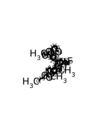 CCCCOC(=O)n1ccc2c(CN3CCN(CC(F)F)C[C@H]3c3ccc(C(=O)OC)c(N4CCCCC4=O)c3)c(OC)cc(C)c21